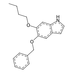 CCCCOc1cc2[nH]ccc2cc1OCc1ccccc1